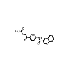 O=C(O)CCC(=O)c1ccc(NC(=O)c2ccc3ccccc3c2)cc1